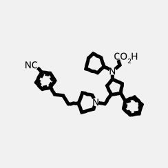 N#Cc1ccc(CCCC2CCN(CC3CC(N(CC(=O)O)C4CCCCC4)CC3c3ccccc3)CC2)cc1